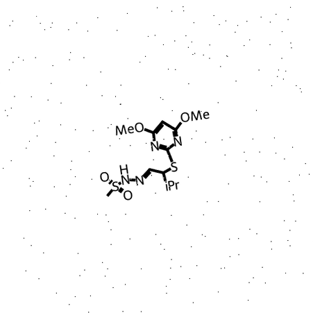 COc1cc(OC)nc(SC(C=NNS(C)(=O)=O)C(C)C)n1